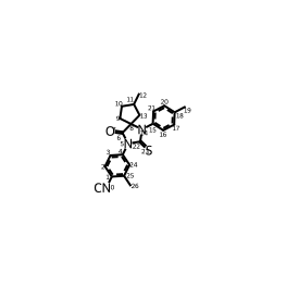 [C-]#[N+]c1ccc(N2C(=O)C3(CCC(C)C3)N(c3ccc(C)cc3)C2=S)cc1C